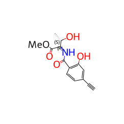 C#Cc1ccc(C(=O)N[C@@H](C(=O)OC)[C@H](C)O)c(O)c1